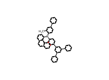 Cc1cc(-c2ccccc2)ccc1N(c1ccc(-c2cc(-c3ccccc3)cc(-c3ccccc3)c2)cc1)c1cccc2ccc3cccnc3c12